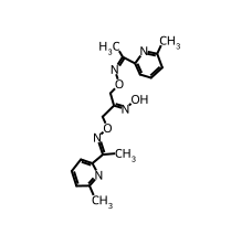 CC(=NOCC(CON=C(C)c1cccc(C)n1)=NO)c1cccc(C)n1